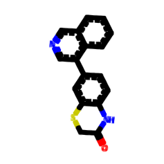 O=C1CSc2cc(-c3cncc4ccccc34)ccc2N1